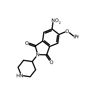 CC(C)Oc1cc2c(cc1[N+](=O)[O-])C(=O)N(C1CCNCC1)C2=O